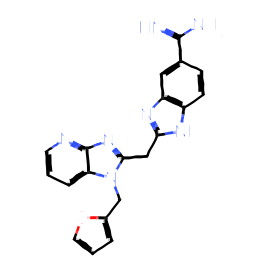 N=C(N)c1ccc2[nH]c(Cc3nc4ncccc4n3Cc3ccco3)nc2c1